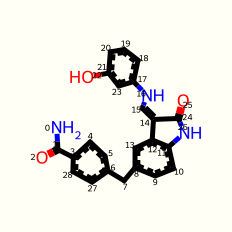 NC(=O)c1ccc(Cc2ccc3c(c2)C(=CNc2cccc(O)c2)C(=O)N3)cc1